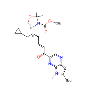 Cn1c(C(C)(C)C)cc2ncc(C(=O)C=CC[C@@H](CC3CC3)[C@@H]3COC(C)(C)N3C(=O)OC(C)(C)C)nc21